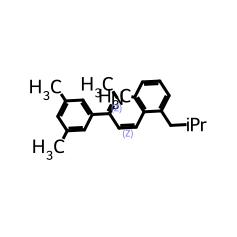 C/N=C(/C=C\c1c(C)cccc1CC(C)C)c1cc(C)cc(C)c1